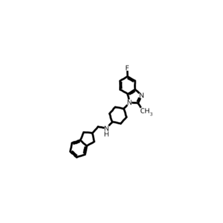 Cc1nc2cc(F)ccc2n1C1CCC(NCC2Cc3ccccc3C2)CC1